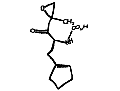 CC1(C(=O)C(CC2=CCCC2)NC(=O)O)CO1